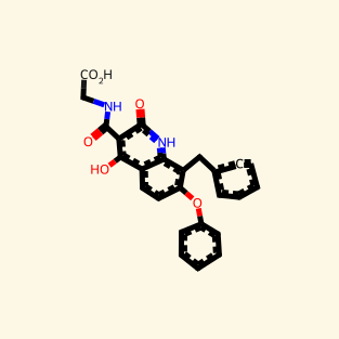 O=C(O)CNC(=O)c1c(O)c2ccc(Oc3ccccc3)c(Cc3ccccc3)c2[nH]c1=O